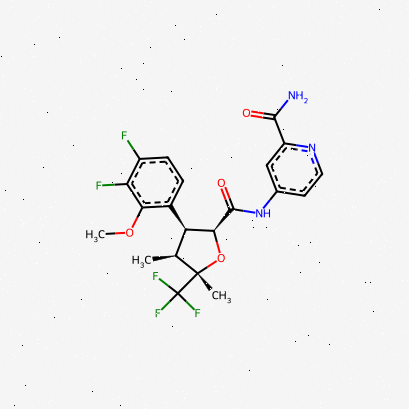 COc1c([C@H]2[C@@H](C(=O)Nc3ccnc(C(N)=O)c3)O[C@](C)(C(F)(F)F)[C@H]2C)ccc(F)c1F